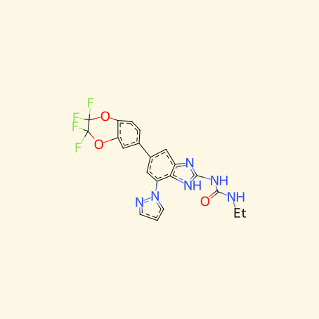 CCNC(=O)Nc1nc2cc(-c3ccc4c(c3)OC(F)(F)C(F)(F)O4)cc(-n3cccn3)c2[nH]1